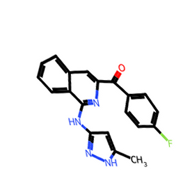 Cc1cc(Nc2nc(C(=O)c3ccc(F)cc3)cc3ccccc23)n[nH]1